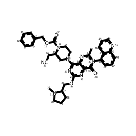 Cc1nc2c(N3CCN(C(=O)OCc4ccccc4)C(CC#N)C3)nc(OCC3CCCN3C)nc2c(=O)n1-c1cccc2ncccc12